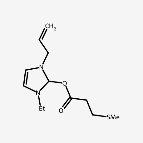 C=CCN1C=CN(CC)C1OC(=O)CCSC